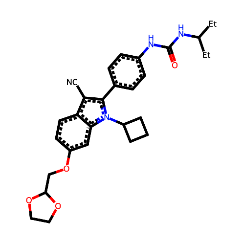 CCC(CC)NC(=O)Nc1ccc(-c2c(C#N)c3ccc(OCC4OCCO4)cc3n2C2CCC2)cc1